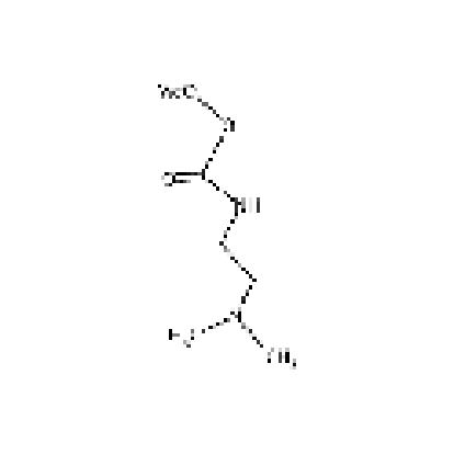 COOC(=O)NCCN(C)C